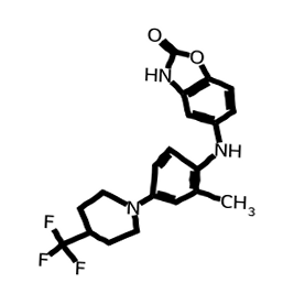 Cc1cc(N2CCC(C(F)(F)F)CC2)ccc1Nc1ccc2oc(=O)[nH]c2c1